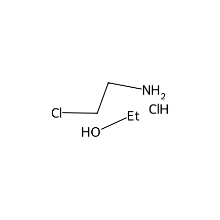 CCO.Cl.NCCCl